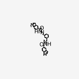 Cn1ccc2cc(C(=O)N/N=C/c3cccc(/C=N/NC(=O)c4ccc5c(ccn5C)c4)c3)ccc21